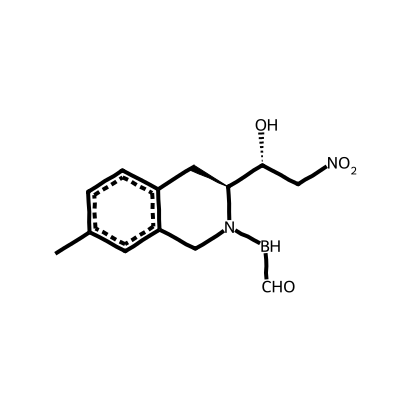 Cc1ccc2c(c1)CN(BC=O)[C@H]([C@H](O)C[N+](=O)[O-])C2